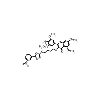 COc1cc(OC)c2c(=O)c(OCCCCSc3nnc(-c4cccc([N+](=O)[O-])c4)o3)c(-c3cc(OC)c(OC)c(OC)c3)oc2c1